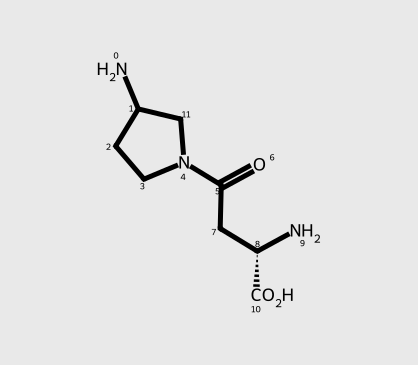 NC1CCN(C(=O)C[C@H](N)C(=O)O)C1